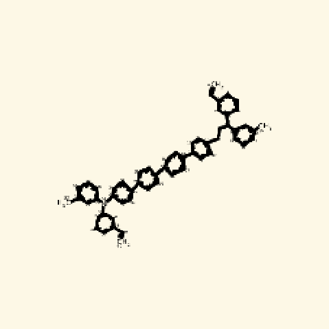 C=Cc1cccc(C(CCc2ccc(-c3ccc(-c4ccc(-c5ccc(N(c6cccc(C)c6)c6cccc(C=C)c6)cc5)cc4)cc3)cc2)c2cccc(C)c2)c1